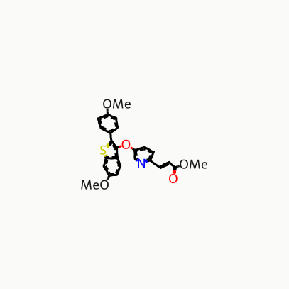 COC(=O)C=Cc1ccc(Oc2c(-c3ccc(OC)cc3)sc3cc(OC)ccc23)cn1